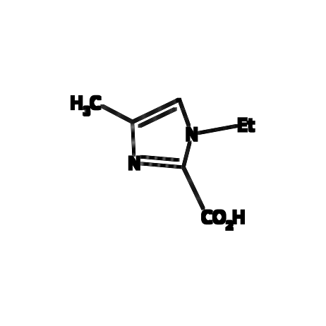 CCn1cc(C)nc1C(=O)O